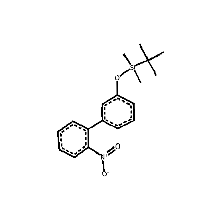 CC(C)(C)[Si](C)(C)Oc1cccc(-c2ccccc2[N+](=O)[O-])c1